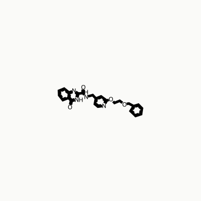 O=C(NCc1ccnc(OCCOCc2ccccc2)c1)c1nc2ccccc2c(=O)[nH]1